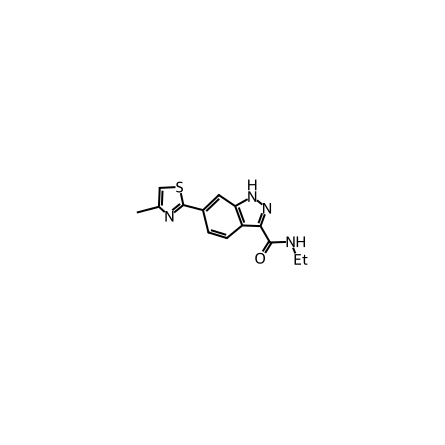 CCNC(=O)c1n[nH]c2cc(-c3nc(C)cs3)ccc12